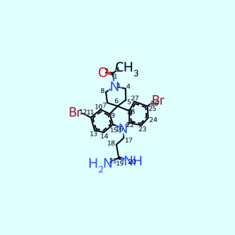 CC(=O)N1CCC2(CC1)c1cc(Br)ccc1N(CCC(=N)N)c1ccc(Br)cc12